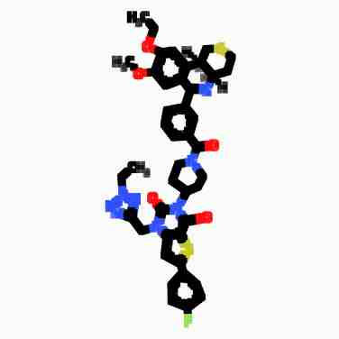 CCOc1cc2c(cc1OC)C(c1cccc(C(=O)N3CCC(n4c(=O)c5sc(-c6ccc(F)cc6)cc5n(Cc5nnn(CC)n5)c4=O)CC3)c1)=N[C@@H]1CCSC[C@H]21